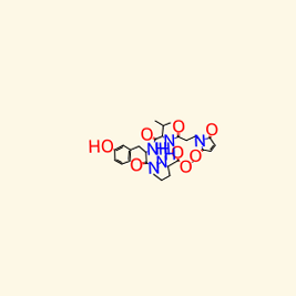 COC(=O)C1CCCN(C(=O)C(Cc2cccc(O)c2)NC(=O)C(NC(=O)CCN2C(=O)C=CC2=O)C(C)C)N1